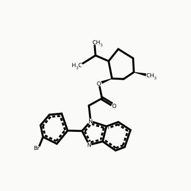 CC(C)C1CC[C@@H](C)C[C@H]1OC(=O)Cn1c(-c2cccc(Br)c2)nc2ccccc21